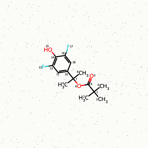 CC(C)(C)C(=O)OC(C)(C)c1cc(F)c(O)c(F)c1